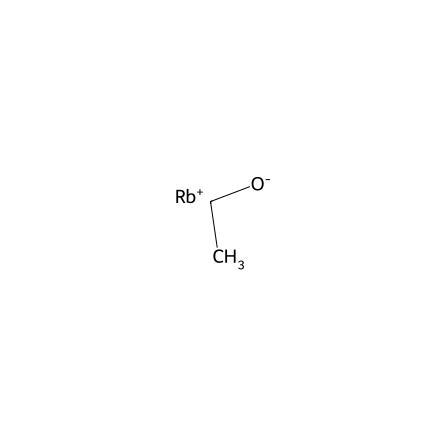 CC[O-].[Rb+]